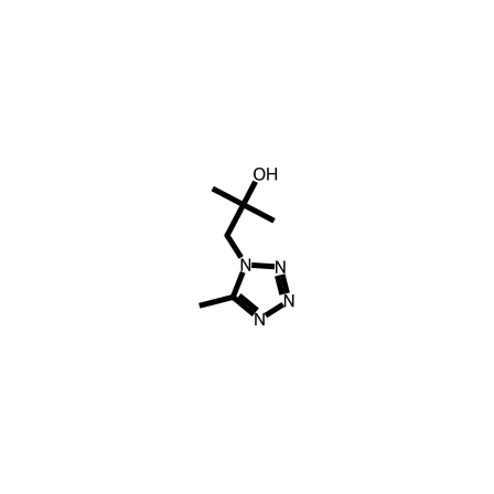 Cc1nnnn1CC(C)(C)O